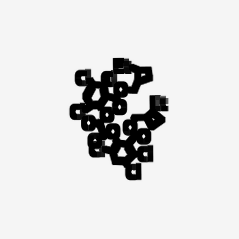 CCC1CCC1COC(=O)c1c(Cl)c(Cl)cc(Cl)c1OC(=O)C(=O)Oc1c(Cl)cc(Cl)c(Cl)c1C(=O)OCC1CCC1CC